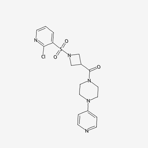 O=C(C1CN(S(=O)(=O)c2cccnc2Cl)C1)N1CCN(c2ccncc2)CC1